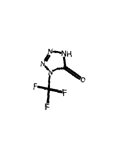 O=c1[nH]nnn1C(F)(F)F